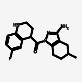 CC1CCc2c(c(N)nn2C(=O)C2CCNc3ccc(F)cc32)C1